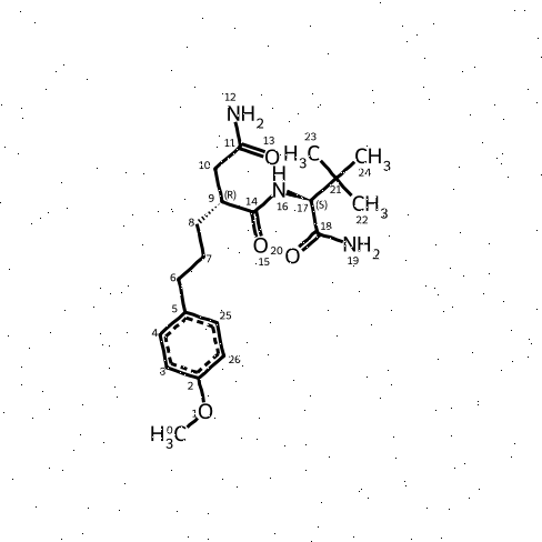 COc1ccc(CCC[C@H](CC(N)=O)C(=O)N[C@H](C(N)=O)C(C)(C)C)cc1